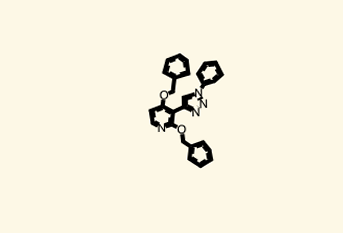 c1ccc(COc2ccnc(OCc3ccccc3)c2-c2cn(-c3ccccc3)nn2)cc1